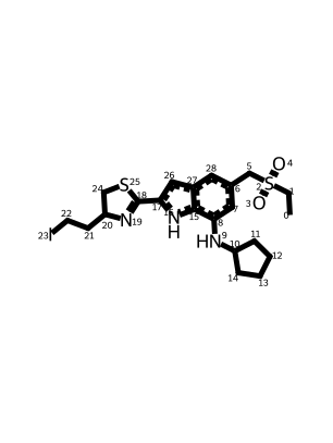 CCS(=O)(=O)Cc1cc(NC2CCCC2)c2[nH]c(C3=NC(CCI)CS3)cc2c1